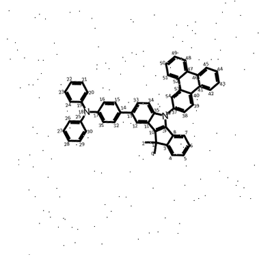 CC1(C)c2ccccc2-c2c1c1cc(-c3ccc(N(c4ccccc4)c4ccccc4)cc3)ccc1n2-c1ccc2c3ccccc3c3ccccc3c2c1